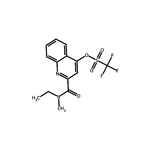 CCN(C)C(=O)c1cc(OS(=O)(=O)C(F)(F)F)c2ccccc2n1